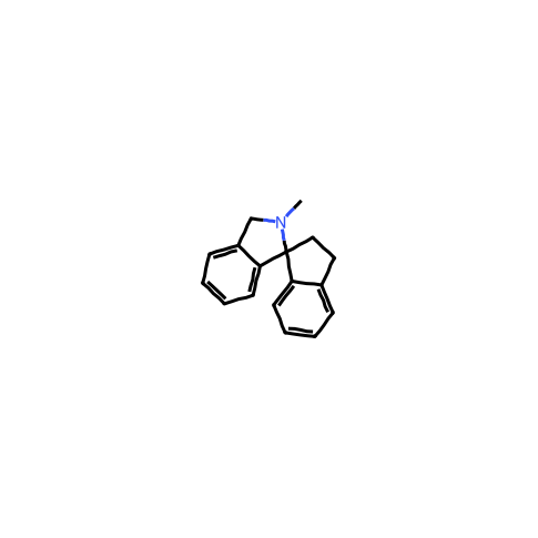 CN1Cc2ccccc2C12CCc1ccccc12